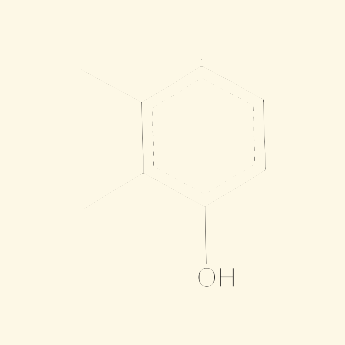 Cc1[c]ccc(O)c1C